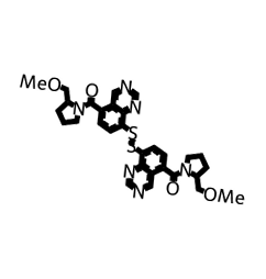 COCC1CCCN1C(=O)c1ccc(SSc2ccc(C(=O)N3CCCC3COC)c3cncnc23)c2ncncc12